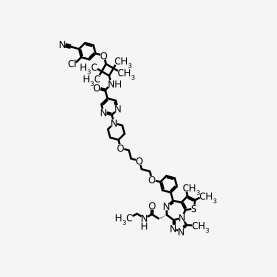 CCNC(=O)C[C@@H]1N=C(c2cccc(OCCOCCOC3CCN(c4ncc(C(=O)NC5C(C)(C)C(Oc6ccc(C#N)c(Cl)c6)C5(C)C)cn4)CC3)c2)c2c(sc(C)c2C)-n2c(C)nnc21